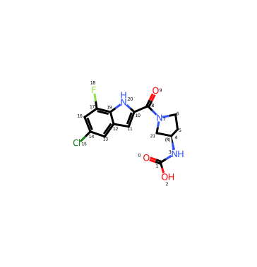 O=C(O)N[C@@H]1CCN(C(=O)c2cc3cc(Cl)cc(F)c3[nH]2)C1